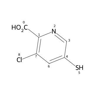 O=C(O)c1ncc(S)cc1Cl